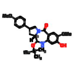 COc1ccc(C2=CN3C(=O)c4cc(OC)c(O)cc4NC(O[Si](C)(C)C(C)(C)C)[C@@H]3C2)cc1